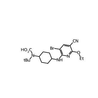 CCOc1nc(NC2CCC(N(C(=O)O)C(C)(C)C)CC2)c(Br)cc1C#N